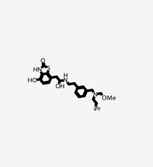 COCN(CCC(C)C)Cc1cccc(CCNC(O)Cc2ccc(O)c3[nH]c(=O)sc23)c1